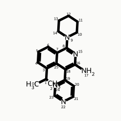 CC(C)c1cccc2c(N3CCCCC3)nc(N)c(-c3ccncn3)c12